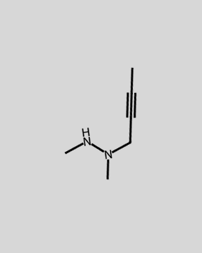 CC#CCN(C)NC